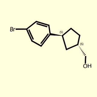 OC[C@H]1CC[C@H](c2ccc(Br)cc2)C1